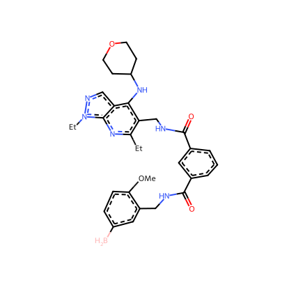 Bc1ccc(OC)c(CNC(=O)c2cccc(C(=O)NCc3c(CC)nc4c(cnn4CC)c3NC3CCOCC3)c2)c1